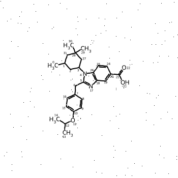 CC1CC(n2c(Cc3ccc(OC(C)C)cc3)nc3cc(C(=O)O)ccc32)CC(C)(C)C1